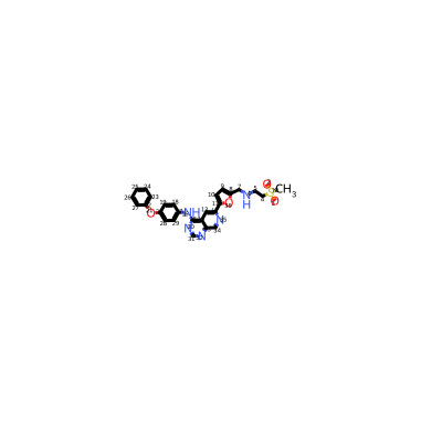 CS(=O)(=O)CCNCc1ccc(-c2cc3c(Nc4ccc(Oc5ccccc5)cc4)ncnc3cn2)o1